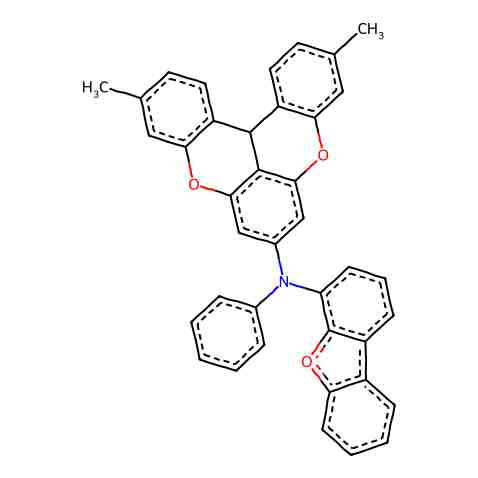 Cc1ccc2c(c1)Oc1cc(N(c3ccccc3)c3cccc4c3oc3ccccc34)cc3c1C2c1ccc(C)cc1O3